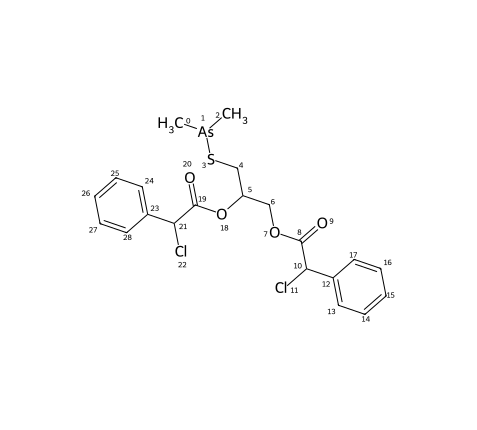 C[As](C)SCC(COC(=O)C(Cl)c1ccccc1)OC(=O)C(Cl)c1ccccc1